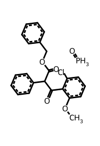 COc1cccc(Cl)c1C(=O)C(C(=O)OCc1ccccc1)c1ccccc1.O=[PH3]